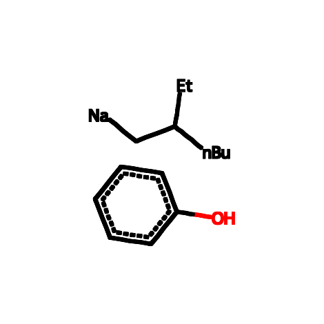 CCCCC(CC)[CH2][Na].Oc1ccccc1